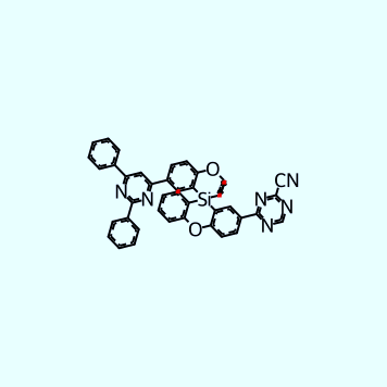 N#Cc1ncnc(-c2ccc3c(c2)[Si]2(c4ccccc4Oc4ccc(-c5cc(-c6ccccc6)nc(-c6ccccc6)n5)cc42)c2ccccc2O3)n1